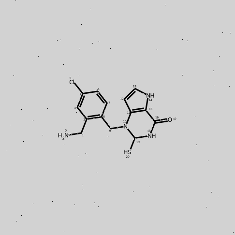 NCc1cc(Cl)ccc1CN1c2cc[nH]c2C(=O)NC1S